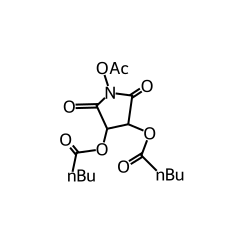 CCCCC(=O)OC1C(=O)N(OC(C)=O)C(=O)C1OC(=O)CCCC